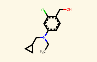 OCc1ccc(N(CC2CC2)CC(F)(F)F)cc1Cl